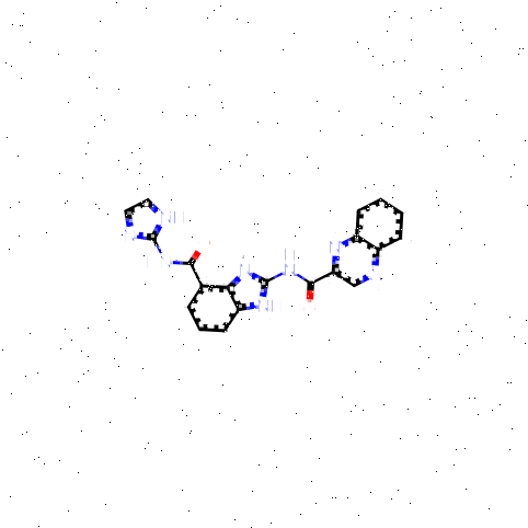 O=C(Nc1nc2c(C(=O)Nc3ncc[nH]3)cccc2[nH]1)c1cnc2ccccc2n1